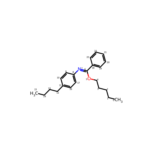 CCCCCOC(=Nc1ccc(CCCC)cc1)c1ccccc1